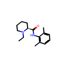 CCN1CCCC[C@H]1C(=O)Nc1c(C)cccc1C